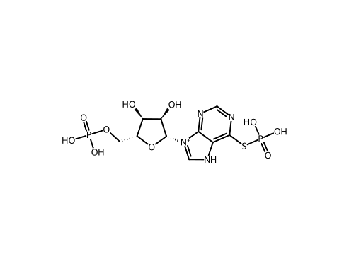 O=P(O)(O)OC[C@H]1O[C@@H]([n+]2c[nH]c3c(SP(=O)(O)O)ncnc32)[C@H](O)[C@@H]1O